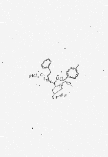 Cc1ccc(S(=O)(=O)N2CC(N)C[C@H]2C(=O)N[C@@H](Cc2ccccc2)C(=O)O)cc1